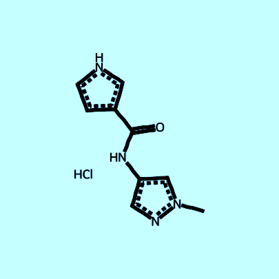 Cl.Cn1cc(NC(=O)c2cc[nH]c2)cn1